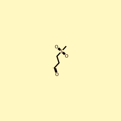 CS(=O)(=O)CC[C]=O